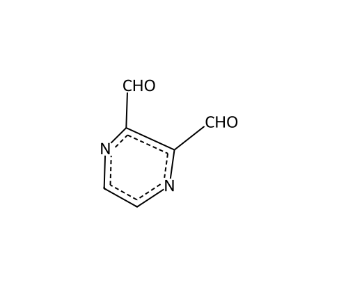 O=Cc1nccnc1C=O